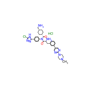 CN1CCN(c2ncc(-c3cccc(C[C@H](N)C(=O)N(c4ccc(-c5nnc(Cl)[nH]5)cc4)C(=O)[C@H]4CC[C@H](CN)CC4)c3)cn2)CC1.Cl